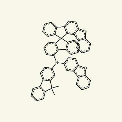 CC1(C)c2ccccc2-c2ccc(N(c3ccc4oc5ccccc5c4c3)c3cccc4c3-c3ccccc3C43c4ccccc4-c4ccc5sc6ccccc6c5c43)cc21